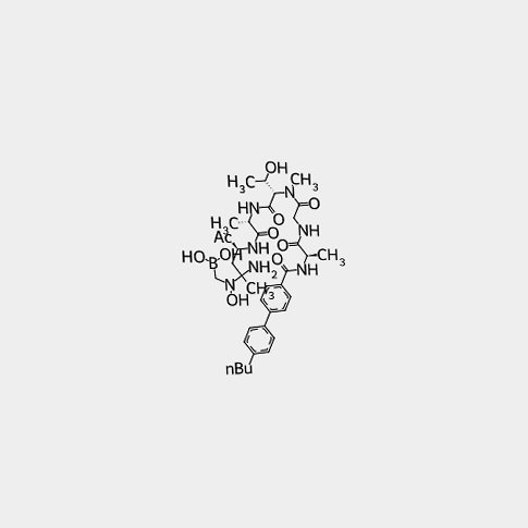 CCCCc1ccc(-c2ccc(C(=O)N[C@H](C)C(=O)NCC(=O)N(C)[C@H](C(=O)N[C@@H](C)C(=O)N[C@@H](CC(C)(N)N(O)CB(O)O)C(C)=O)C(C)O)cc2)cc1